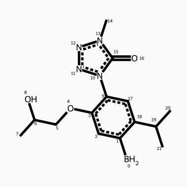 Bc1cc(OCC(C)O)c(-n2nnn(C)c2=O)cc1C(C)C